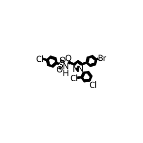 O=C(NS(=O)(=O)c1ccc(Cl)cc1)c1cc(-c2ccc(Br)cc2)n(-c2ccc(Cl)cc2Cl)n1